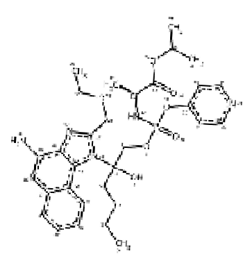 CCCCC(O)(COP(=O)(N[C@@H](C)C(=O)OC(C)C)Oc1ccncc1)n1c(COCC)nc2c(N)nc3ccccc3c21